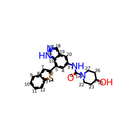 O=C(Nc1cc(-c2cc3ccccc3s2)c2[nH]ncc2c1)N1CCC(O)CC1